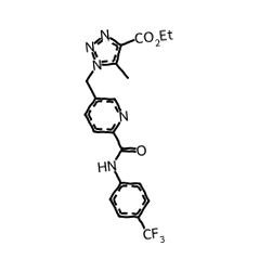 CCOC(=O)c1nnn(Cc2ccc(C(=O)Nc3ccc(C(F)(F)F)cc3)nc2)c1C